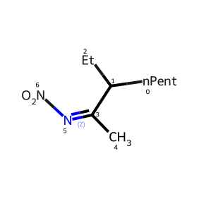 CCCCCC(CC)/C(C)=N\[N+](=O)[O-]